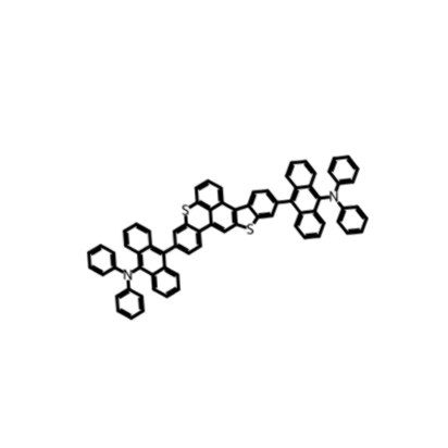 c1ccc(N(c2ccccc2)c2c3ccccc3c(-c3ccc4c(c3)Sc3cccc5c3c-4cc3sc4cc(-c6c7ccccc7c(N(c7ccccc7)c7ccccc7)c7ccccc67)ccc4c35)c3ccccc23)cc1